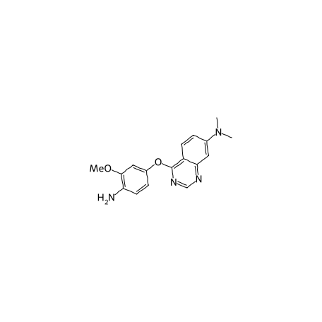 COc1cc(Oc2ncnc3cc(N(C)C)ccc23)ccc1N